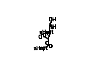 CCCCCCCC(=O)OCC(COCCNCCO)COC(=O)CCCCCCC